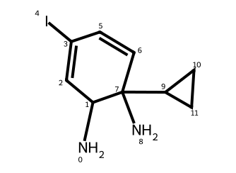 NC1C=C(I)C=CC1(N)C1CC1